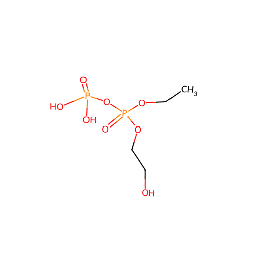 CCOP(=O)(OCCO)OP(=O)(O)O